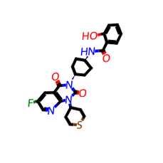 O=C(N[C@H]1CC[C@@H](n2c(=O)c3cc(F)cnc3n(C3CCSCC3)c2=O)CC1)c1ccccc1O